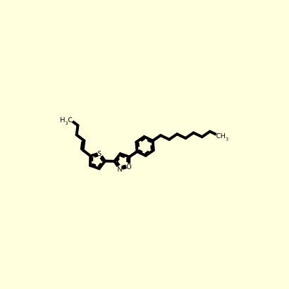 CCCC=Cc1ccc(-c2cc(-c3ccc(CCCCCCCC)cc3)on2)s1